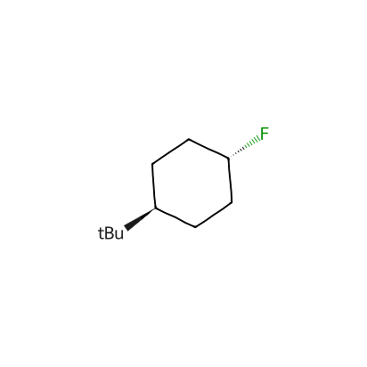 CC(C)(C)[C@H]1CC[C@H](F)CC1